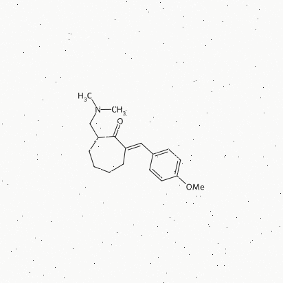 COc1ccc(C=C2CCCCC(CN(C)C)C2=O)cc1